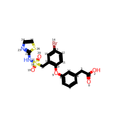 O=C(O)Cc1cccc(Oc2ccc(Br)cc2CS(=O)(=O)Nc2nccs2)c1